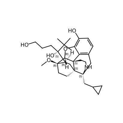 CO[C@]12CC[C@@]3(C[C@@H]1[C@@](O)(CCCO)C(C)(C)C)[C@]1(CC4CC4)Cc4ccc(O)c5c4[C@@]3(CCN1)[C@H]2O5